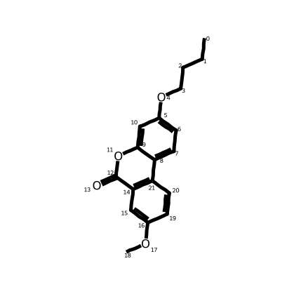 CCCCOc1ccc2c(c1)oc(=O)c1cc(OC)ccc12